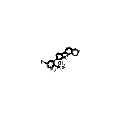 CC(C)(O)c1ccc(Br)cc1-c1ccc2c(c1)oc1c3ccccc3ccc21